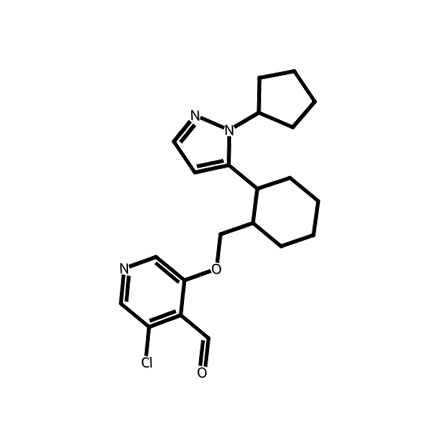 O=Cc1c(Cl)cncc1OCC1CCCCC1c1ccnn1C1CCCC1